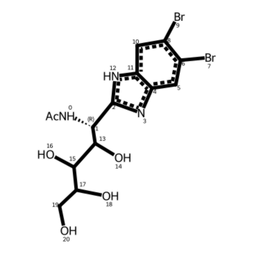 CC(=O)N[C@H](c1nc2cc(Br)c(Br)cc2[nH]1)C(O)C(O)C(O)CO